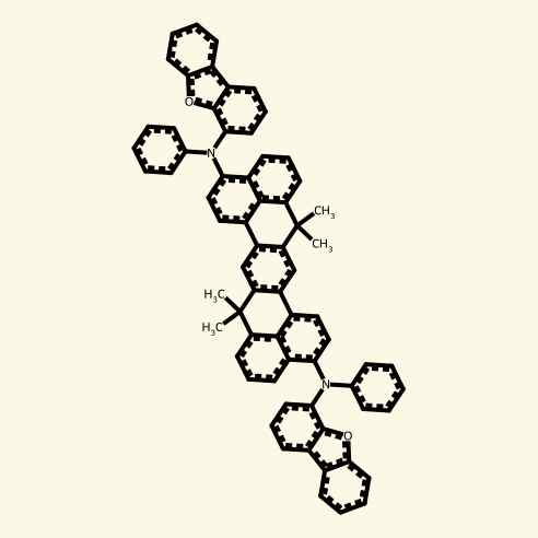 CC1(C)c2cc3c(cc2-c2ccc(N(c4ccccc4)c4cccc5c4oc4ccccc45)c4cccc1c24)C(C)(C)c1cccc2c(N(c4ccccc4)c4cccc5c4oc4ccccc45)ccc-3c12